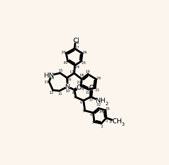 Cc1ccc(CC(CC(=O)N2CCCNCC2C(c2ccccc2)c2ccc(Cl)cc2)C(N)=O)cc1